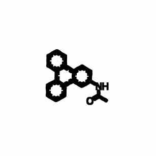 CC(=O)Nc1ccc2c3ccccc3c3ccccc3c2c1